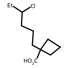 CCC(Cl)CCCC1(C(=O)O)CCC1